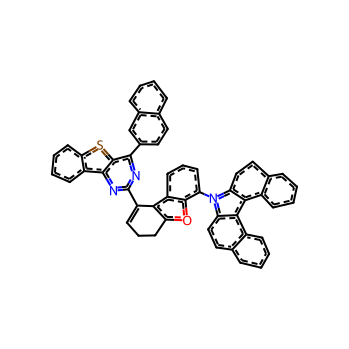 C1=C(c2nc(-c3ccc4ccccc4c3)c3sc4ccccc4c3n2)c2c(oc3c(-n4c5ccc6ccccc6c5c5c6ccccc6ccc54)cccc23)CC1